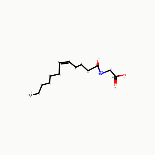 CCCCCC/C=C\CCCC(=O)NCC(=O)O